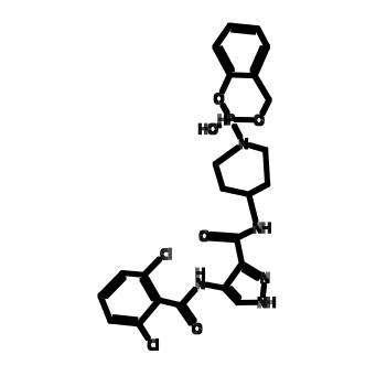 O=C(NC1CCN([PH]2(O)OCc3ccccc3O2)CC1)c1n[nH]cc1NC(=O)c1c(Cl)cccc1Cl